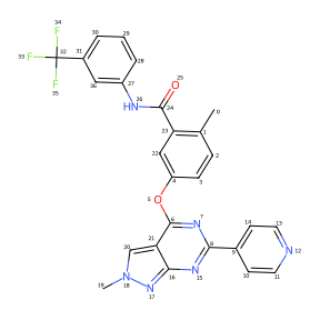 Cc1ccc(Oc2nc(-c3ccncc3)nc3nn(C)cc23)cc1C(=O)Nc1cccc(C(F)(F)F)c1